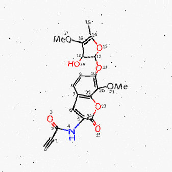 C#CC(=O)Nc1cc2ccc(OC3OC(C)=C(OC)C3O)c(OC)c2oc1=O